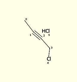 CC#CCCl.Cl